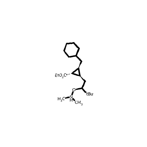 CCOC(=O)[C@H]1[C@H](CC(O[SiH](C)C)C(C)(C)C)[C@@H]1CC1CCCCC1